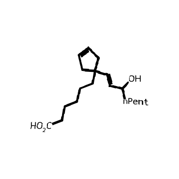 CCCCCC(O)C=CC1(CCCCCC(=O)O)CC=CC1